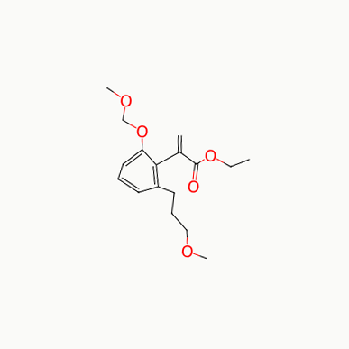 C=C(C(=O)OCC)c1c(CCCOC)cccc1OCOC